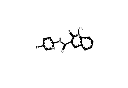 Cn1c(=O)c(C(=O)Nc2ccc(F)cn2)cc2ccccc21